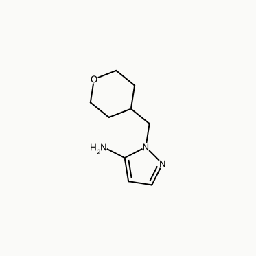 Nc1ccnn1CC1CCOCC1